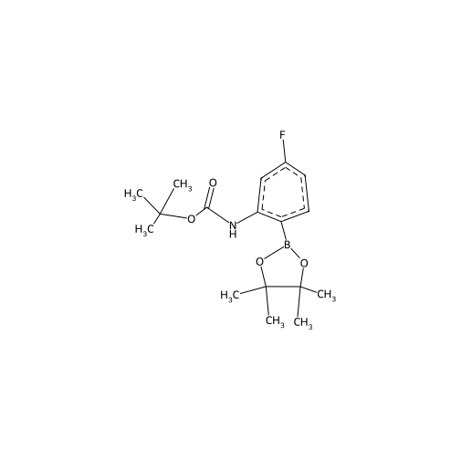 CC(C)(C)OC(=O)Nc1cc(F)ccc1B1OC(C)(C)C(C)(C)O1